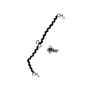 CCCCCCCC/C=C\CCCCCCCCOC(=O)CCCCCCCCCCCCCCCCC.O=S(=O)([O-])[O-].[Na+].[Na+]